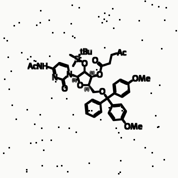 COc1ccc(C(OC[C@H]2O[C@@H](n3ccc(NC(C)=O)nc3=O)C(O[Si](C)(C)C(C)(C)C)[C@H]2OC(=O)CCC(C)=O)(c2ccccc2)c2ccc(OC)cc2)cc1